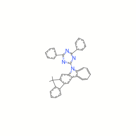 CC1(C)c2ccccc2-c2cc3c4c(n(-c5nc(-c6ccccc6)nc(-c6ccccc6)n5)c3cc21)=CC=CC=C=4